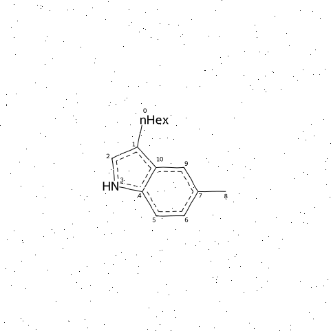 CCCCCCc1c[nH]c2ccc(C)cc12